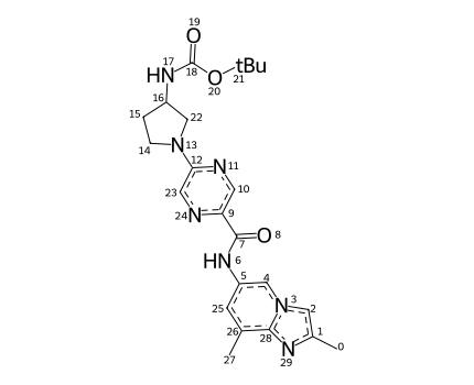 Cc1cn2cc(NC(=O)c3cnc(N4CCC(NC(=O)OC(C)(C)C)C4)cn3)cc(C)c2n1